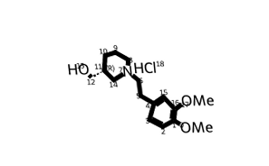 COc1ccc(CCN2CCC[C@@H](CO)C2)cc1OC.Cl